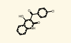 O=C(c1ccc(Cl)cc1)c1c(O)c2ccccc2[nH]c1=O